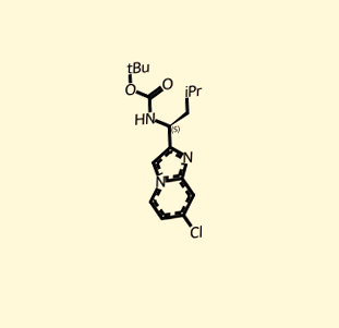 CC(C)C[C@H](NC(=O)OC(C)(C)C)c1cn2ccc(Cl)cc2n1